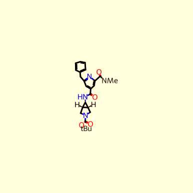 CNC(=O)c1cc(C(=O)N[C@H]2[C@@H]3CN(C(=O)OC(C)(C)C)C[C@@H]32)cc(Cc2ccccc2)n1